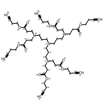 C#CCCOC(=O)CCN(CCCN(CCCN(CCC(=O)OCCC#C)CCC(=O)OCCC#C)CCCN(CCC(=O)OCCC#C)CCC(=O)OCCC#C)CCC(=O)OCCC#C